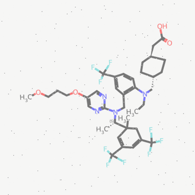 CCN(C[C@H]1CC[C@H](CC(=O)O)CC1)c1ccc(C(F)(F)F)cc1CN(c1ncc(OCCCOC)cn1)[C@@H](C)C1(C)C=C(C(F)(F)F)C=C(C(F)(F)F)C1